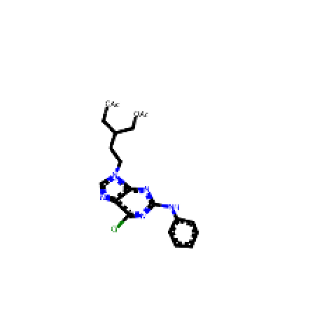 CC(=O)OCC(CCn1cnc2c(Cl)nc(Nc3ccccc3)nc21)COC(C)=O